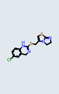 Clc1ccc2c(c1)CN=C(SCC1=CSC3=NCCN13)N2